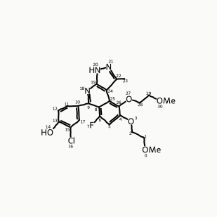 COCCOc1cc(F)c2c(-c3ccc(O)c(Cl)c3)nc3[nH]nc(C)c3c2c1OCCOC